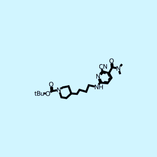 CN(C)C(=O)c1ccc(NCCCCC2CCN(C(=O)OC(C)(C)C)CC2)nc1C#N